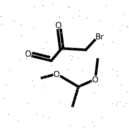 COC(C)OC.O=CC(=O)CBr